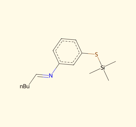 CCCCC=Nc1cccc(S[Si](C)(C)C)c1